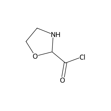 O=C(Cl)C1NCCO1